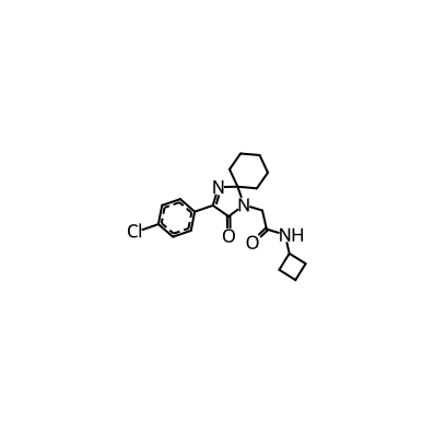 O=C(CN1C(=O)C(c2ccc(Cl)cc2)=NC12CCCCC2)NC1CCC1